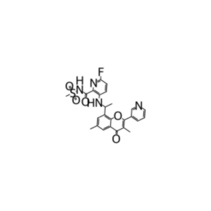 Cc1cc(C(C)Nc2ccc(F)nc2C(=O)NS(C)(=O)=O)c2oc(-c3cccnc3)c(C)c(=O)c2c1